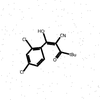 CC(C)(C)C(=O)C(C#N)=C(O)c1ccc(Cl)cc1Cl